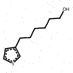 OCCCCCCc1ccsc1